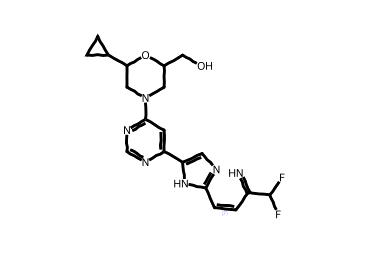 N=C(/C=C\c1ncc(-c2cc(N3CC(CO)OC(C4CC4)C3)ncn2)[nH]1)C(F)F